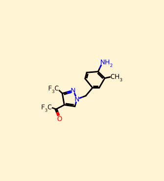 Cc1cc(Cn2cc(C(=O)C(F)(F)F)c(C(F)(F)F)n2)ccc1N